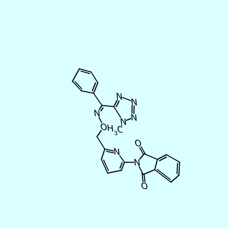 Cn1nnnc1C(=NOCc1cccc(N2C(=O)c3ccccc3C2=O)n1)c1ccccc1